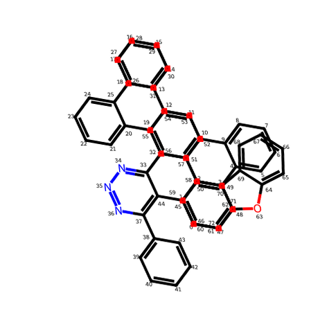 c1ccc(-c2ccccc2-c2cc(-c3ccccc3)c(-c3ccccc3-c3ccccc3)c(-c3nnnc(-c4ccccc4)c3-c3ccccc3-c3ccccc3)c2-c2cccc3oc4ccccc4c23)cc1